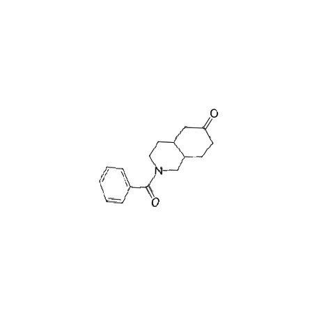 O=C1CCC2CN(C(=O)c3ccccc3)CCC2C1